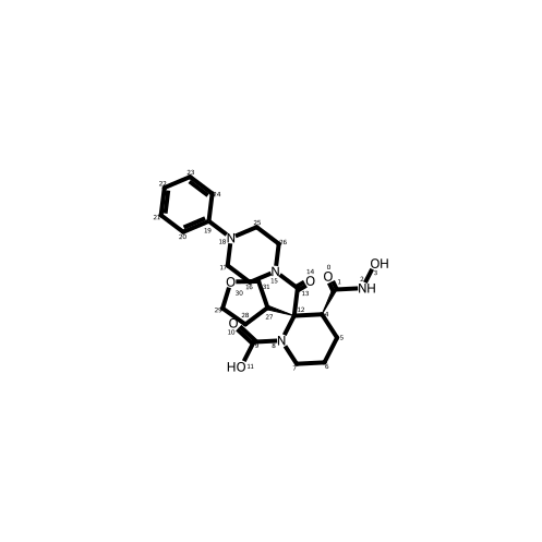 O=C(NO)[C@H]1CCCN(C(=O)O)[C@@]1(C(=O)N1CCN(c2ccccc2)CC1)C1CCOC1